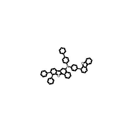 c1ccc(-c2ccc(N(c3ccc(-c4cccc5c4oc4ccccc45)cc3)c3cc4c5ccc(-c6ccccc6)c(-c6ccccc6)c5oc4c4ccccc34)cc2)cc1